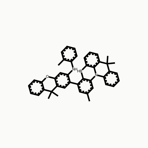 Cc1cc(-c2cc3c(cc2Nc2ccccc2C)Oc2ccccc2C3(C)C)c2c(c1)N1c3ccccc3C(C)(C)c3cccc(c31)B2